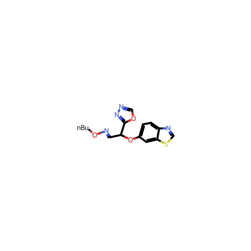 CCCCON=CC(Oc1ccc2ncsc2c1)c1nnco1